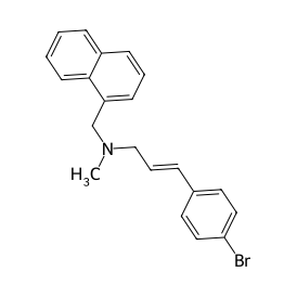 CN(CC=Cc1ccc(Br)cc1)Cc1cccc2ccccc12